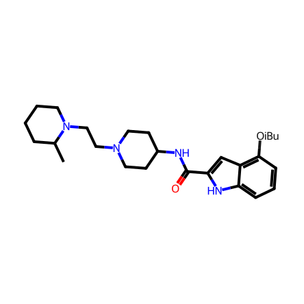 CC(C)COc1cccc2[nH]c(C(=O)NC3CCN(CCN4CCCCC4C)CC3)cc12